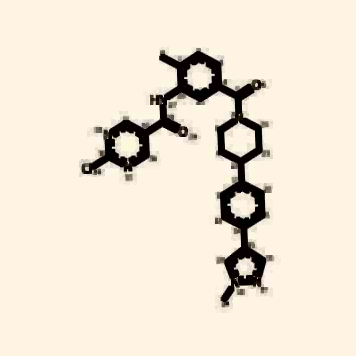 Cc1ccc(C(=O)N2CCC(c3ccc(-c4cnn(C)c4)cc3)CC2)cc1NC(=O)c1cnc(Cl)nc1